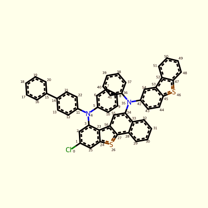 Clc1cc(N(c2ccccc2)c2ccc(-c3ccccc3)cc2)c2c(c1)sc1c3ccccc3c(N(c3ccccc3)c3ccc4sc5ccccc5c4c3)cc12